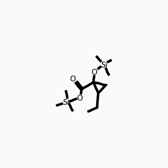 CCC1CC1(O[Si](C)(C)C)C(=O)O[Si](C)(C)C